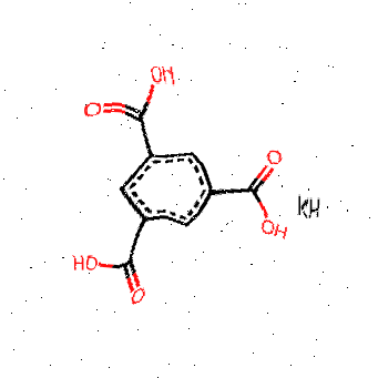 O=C(O)c1cc(C(=O)O)cc(C(=O)O)c1.[KH]